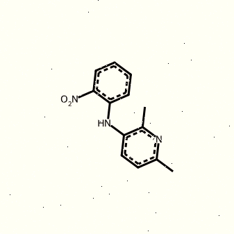 Cc1ccc(Nc2ccccc2[N+](=O)[O-])c(C)n1